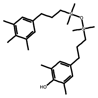 Cc1cc(CCC[Si](C)(C)O[Si](C)(C)CCCc2cc(C)c(O)c(C)c2)cc(C)c1C